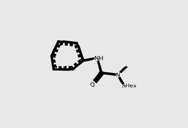 CCCCCCN(C)C(=O)Nc1ccccc1